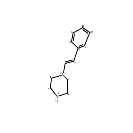 C(=CN1CCNCC1)c1ccccc1